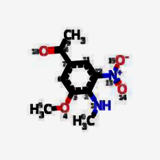 CNc1c(OC)cc(C(C)=O)cc1[N+](=O)[O-]